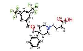 CC(CCN1CCC(COCc2cc(C(F)(F)F)cc(C(F)(F)F)c2)(c2ccccc2)CC1)C(=O)O